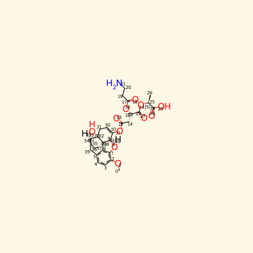 COc1ccc2c3c1O[C@@H]1C(OC(=O)C[C@H](OC(=O)CCN)C(=O)O[C@@H](C)C(=O)O)=CC[C@]4(O)[C@@H](CCC[C@@]314)C2